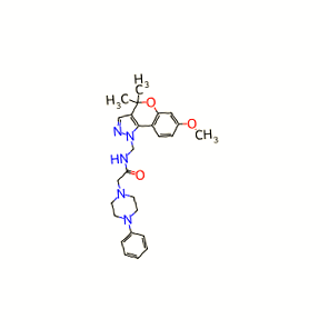 COc1ccc2c(c1)OC(C)(C)c1cnn(CNC(=O)CN3CCN(c4ccccc4)CC3)c1-2